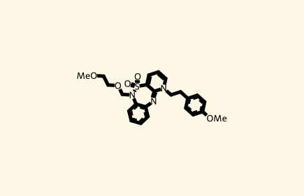 COCCOCN1c2ccccc2N=C2C(=CC=CN2CCc2ccc(OC)cc2)S1(=O)=O